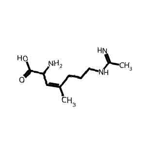 CC(=N)NCCC/C(C)=C\C(N)C(=O)O